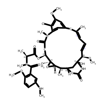 CNc1ccc(OC)c(C(=O)N(C)[C@@H](C)C(=O)O[C@H]2CC(=O)N(C)c3cc(cc(OC)c3Cl)C/C(C)=C/C=C/[C@@H](OC)[C@@]3(O)C[C@H](OC(=O)N3)[C@@H](C)[C@@H]3O[C@@]23C)c1